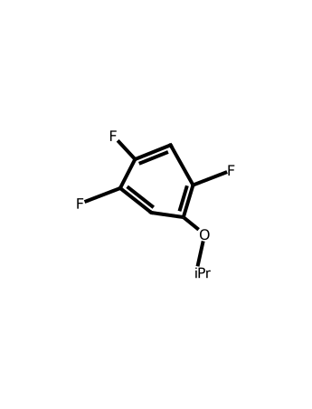 CC(C)Oc1cc(F)c(F)cc1F